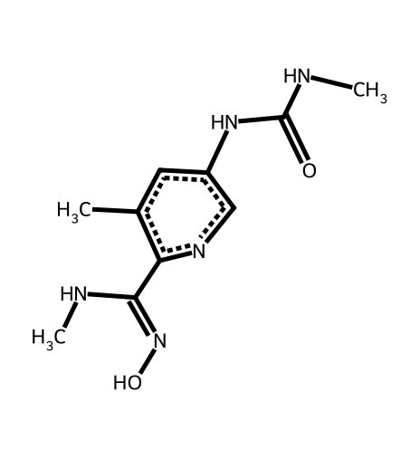 CNC(=O)Nc1cnc(/C(=N/O)NC)c(C)c1